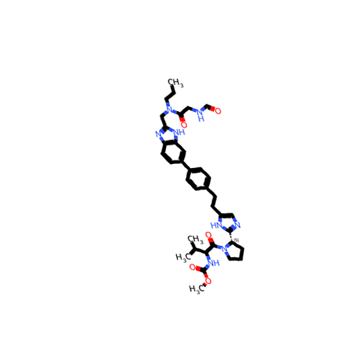 CCCN(Cc1nc2ccc(-c3ccc(CCc4cnc([C@@H]5CCCN5C(=O)C(NC(=O)OC)C(C)C)[nH]4)cc3)cc2[nH]1)C(=O)CNC=O